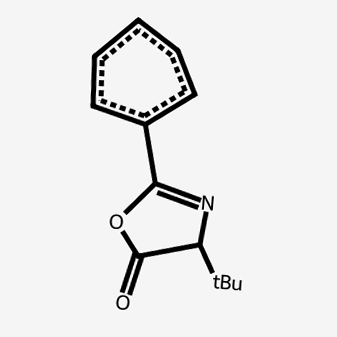 CC(C)(C)C1N=C(c2ccccc2)OC1=O